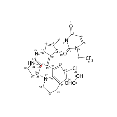 O=CO.O=c1ccn(CC(F)(F)F)c(=O)n1Cc1cc2nccc(-c3cc(Cl)cc4c3N([C@@H]3CCNC3)CCC4)c2s1